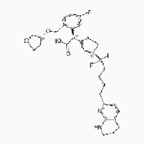 O=C(O)[C@@H](c1cc(F)ccc1CO[C@@H]1CCOC1)N1CC[C@@H](C(F)(F)CCCCc2ccc3c(n2)NCCC3)C1